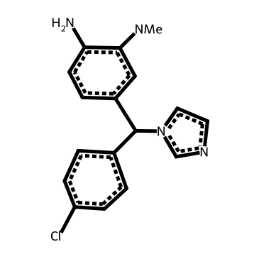 CNc1cc(C(c2ccc(Cl)cc2)n2ccnc2)ccc1N